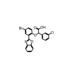 O=C(O)C(Oc1ccc(Br)cc1-c1nc2ccccc2o1)c1cccc(Cl)c1